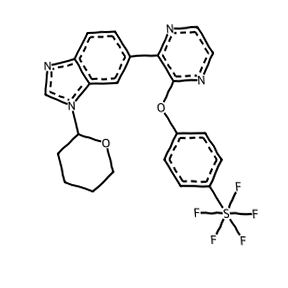 FS(F)(F)(F)(F)c1ccc(Oc2nccnc2-c2ccc3ncn(C4CCCCO4)c3c2)cc1